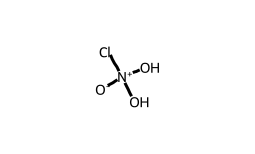 [O-][N+](O)(O)Cl